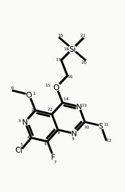 COc1nc(Cl)c(F)c2nc(SC)nc(OCC[Si](C)(C)C)c12